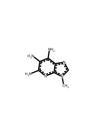 Cn1cnc2c(N)c(N)c(N)nc21